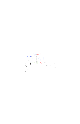 O=C(CCC1CCCC1)NC1(C(F)(F)F)C(=O)NC2=NC3CC4=C(C=C3N21)CCC4